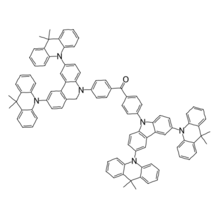 CC1(C)c2ccccc2N(c2ccc3c(c2)-c2cc(N4c5ccccc5C(C)(C)c5ccccc54)ccc2N(c2ccc(C(=O)c4ccc(-n5c6ccc(N7c8ccccc8C(C)(C)c8ccccc87)cc6c6cc(N7c8ccccc8C(C)(C)c8ccccc87)ccc65)cc4)cc2)C3)c2ccccc21